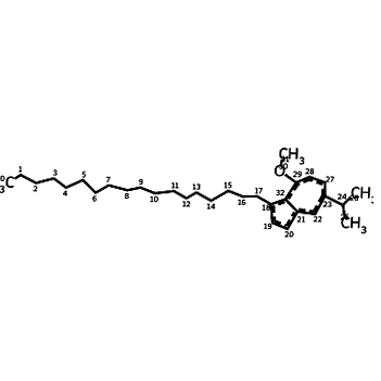 CCCCCCCCCCCCCCCCCCc1ccc2cc(C(C)C)ccc(OC)c1-2